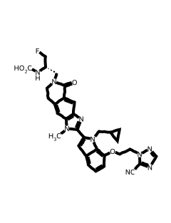 Cn1c(-c2cc3cccc(OCCn4ncnc4C#N)c3n2CC2CC2)nc2cc3c(cc21)CCN(C[C@@H](CF)NC(=O)O)C3=O